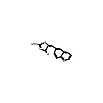 CSC1=NC(=O)/C(=C\c2ccc3ncccc3c2)S1